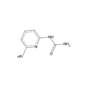 CCCc1cccc(NC(N)=O)n1